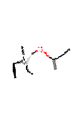 CC[Si](C)(C)OC(C)C